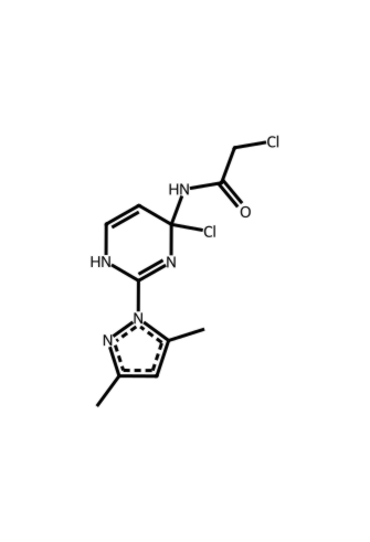 Cc1cc(C)n(C2=NC(Cl)(NC(=O)CCl)C=CN2)n1